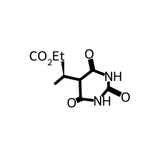 CCOC(=O)[C@H](C)C1C(=O)NC(=O)NC1=O